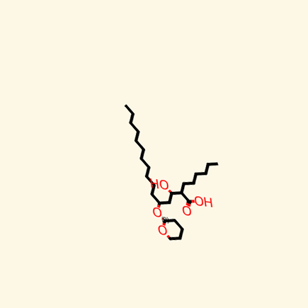 CCCCCCCCCCCC(CC(O)C(CCCCCC)C(=O)O)O[C@@H]1CCCCO1